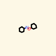 C1CCC([N]OC2CCCCC2)CC1